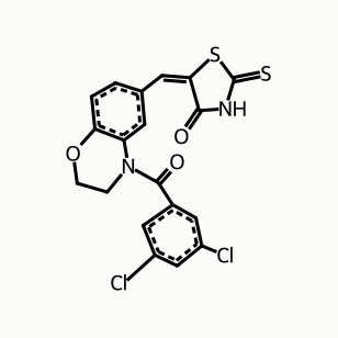 O=C1NC(=S)SC1=Cc1ccc2c(c1)N(C(=O)c1cc(Cl)cc(Cl)c1)CCO2